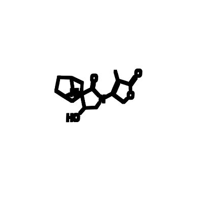 CC1=C(N2CC(O)C3(CC4CCC(C3)N4)C2=O)COC1=O